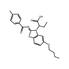 CCCCOc1ccc2s/c(=N\C(=O)c3ccc(C)cc3)n(C(CC)C(=O)O)c2c1